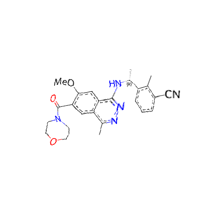 COc1cc2c(N[C@H](C)c3cccc(C#N)c3C)nnc(C)c2cc1C(=O)N1CCOCC1